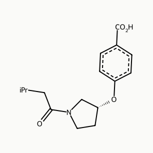 CC(C)CC(=O)N1CC[C@@H](Oc2ccc(C(=O)O)cc2)C1